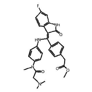 COC(=O)Cc1ccc(C(Nc2ccc(N(C)C(=O)CN(C)C)cc2)=C2C(=O)Nc3cc(F)ccc32)cc1